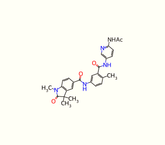 CC(=O)Nc1ccc(NC(=O)c2cc(NC(=O)c3ccc4c(c3)C(C)(C)C(=O)N4C)ccc2C)cn1